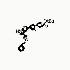 CC(C)(C)OC(=O)N1CCC(c2ccc(-c3cnc4[nH]cc(-c5cnn(CCc6ccccc6)c5)c4c3)cc2F)CC1